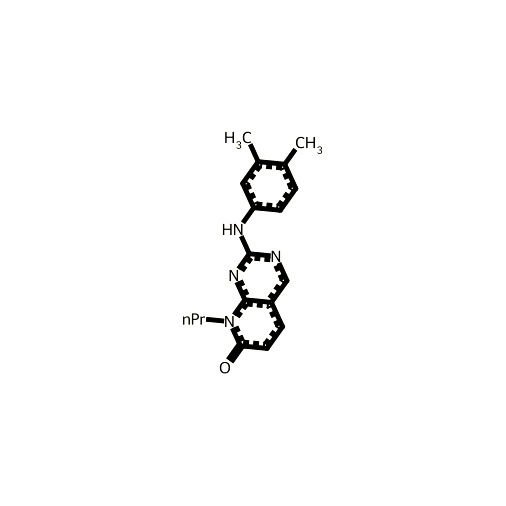 CCCn1c(=O)ccc2cnc(Nc3ccc(C)c(C)c3)nc21